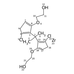 CC(C)(C1=C(Cl)CC=C1OCCO)C1=C(Cl)CC=C1OCCO.[Zr]